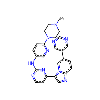 CC(C)N1CCN(c2ccc(Nc3nccc(-c4cnc5ccc(-c6cncnc6)cn45)n3)cn2)CC1